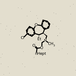 CCCCCCCC(=O)OCN(C)C[C@@H]1c2ccccc2Oc2ccc(Cl)cc2[C@H]1CC